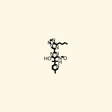 CCCCc1nc(-c2nc(O)c(C(C)(C)c3ccc(C)cn3)c(NC=O)n2)cn2ncnc12